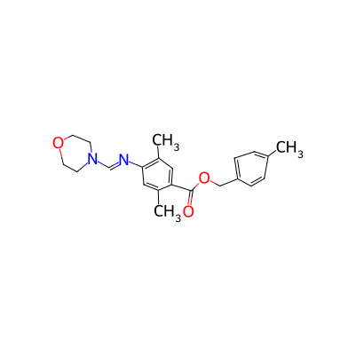 Cc1ccc(COC(=O)c2cc(C)c(/N=C/N3CCOCC3)cc2C)cc1